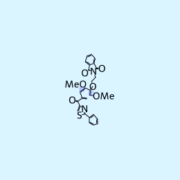 C=C(/C=C(OC)\C(=C\OC)OCCN1C(=O)c2ccccc2C1=O)C(=O)c1csc(-c2ccccc2)n1